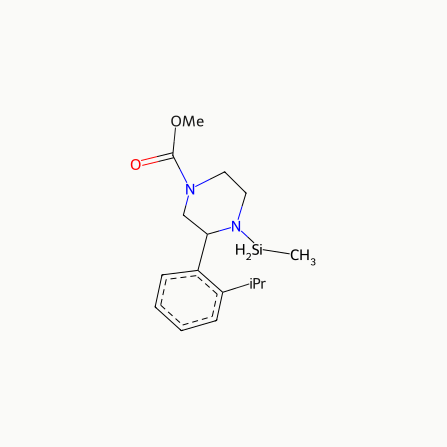 COC(=O)N1CCN([SiH2]C)C(c2ccccc2C(C)C)C1